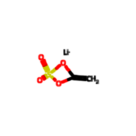 C=C1OS(=O)(=O)O1.[Li]